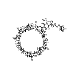 CC[C@@H]1NC(=O)[C@H]([C@H](O)[C@H](C)CC=Cc2ccc(C(=O)OCCCn3cccn3)c3ccccc23)N(C)C(=O)[C@H](C(C)C)N(C)C(=O)[C@H](CC(C)C)N(C)C(=O)[C@H](CC(C)C)N(C)C(=O)[C@@H](C)NC(=O)[C@H](C)NC(=O)[C@H](CC(C)C)N(C)C(=O)[C@H](C(C)C)NC(=O)[C@H](CC(C)C)N(C)C(=O)CN(C)C1=O